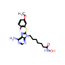 COc1ccc(I)c(Sc2nc3c(N)ncnc3n2CCCCCCC(=O)NO)c1